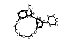 c1cc2[nH]nc3c2cc1OCCOCCCOc1cc-3cc(N2CCOCC2)c1